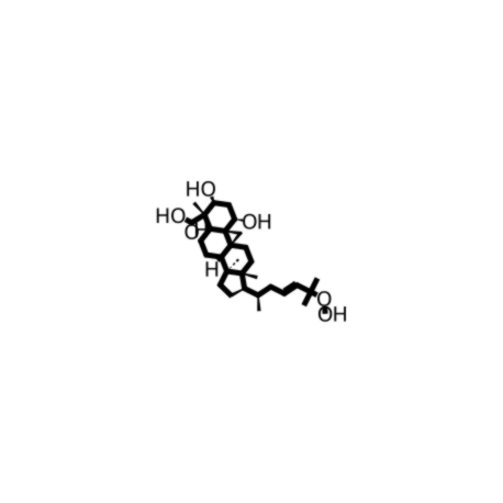 C[C@H](C/C=C/C(C)(C)OO)[C@H]1CC[C@@]2(C)[C@@H]3CC[C@H]4[C@](C)(C(=O)O)[C@@H](O)C[C@H](O)[C@@]45C[C@@]35CC[C@]12C